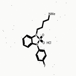 CNCCCCN1c2ccccc2N(c2ccc(F)cc2)S1(=O)=O.Cl